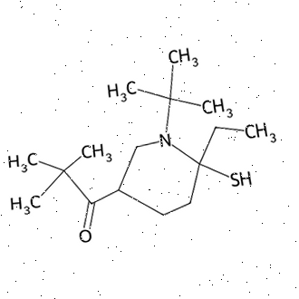 CCC1(S)CCC(C(=O)C(C)(C)C)CN1C(C)(C)C